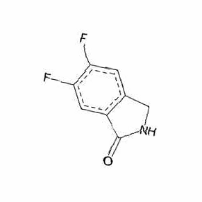 O=C1NCc2cc(F)c(F)cc21